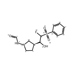 O=CBN1CC[C@H](C(O)C(F)S(=O)(=O)c2ccccc2)C1